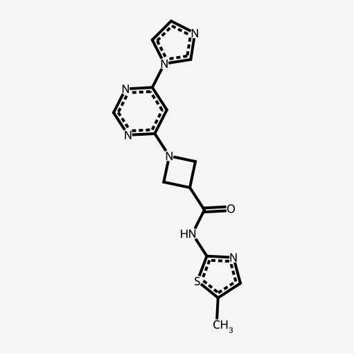 Cc1cnc(NC(=O)C2CN(c3cc(-n4ccnc4)ncn3)C2)s1